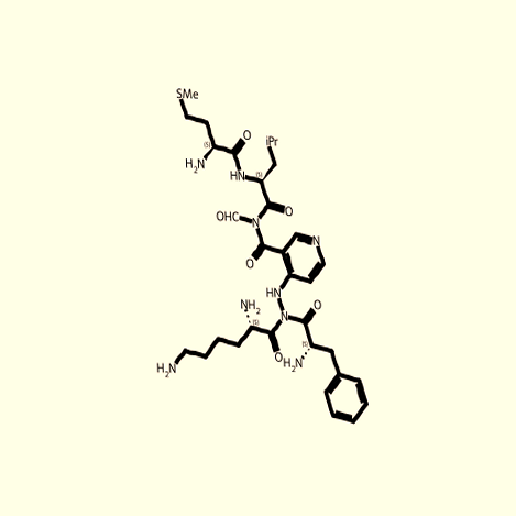 CSCC[C@H](N)C(=O)N[C@@H](CC(C)C)C(=O)N(C=O)C(=O)c1cnccc1NN(C(=O)[C@@H](N)CCCCN)C(=O)[C@@H](N)Cc1ccccc1